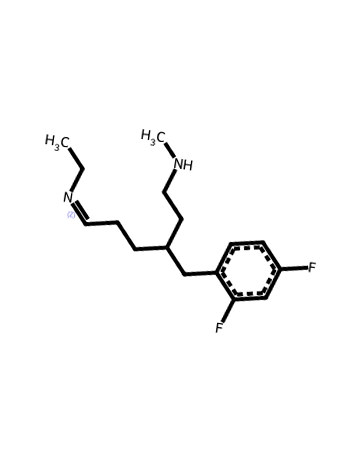 CC/N=C\CCC(CCNC)Cc1ccc(F)cc1F